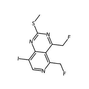 CSc1nc(CF)c2c(CF)ncc(I)c2n1